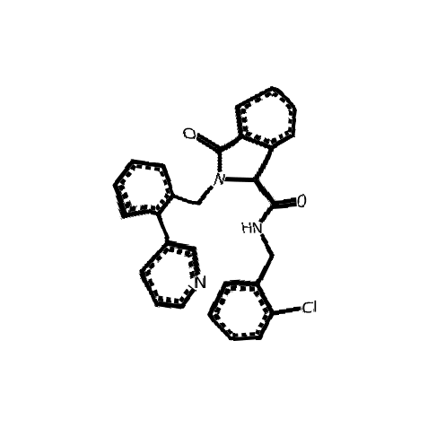 O=C(NCc1ccccc1Cl)C1c2ccccc2C(=O)N1Cc1ccccc1-c1cccnc1